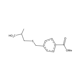 COC(=O)c1ccc(CSCC(C)C(=O)O)cc1